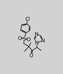 CC(C(=O)C(C)(C)CS(=O)(=O)c1ccc(Cl)cc1)n1cncn1